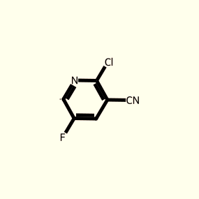 N#Cc1cc(F)[c]nc1Cl